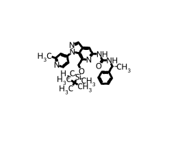 Cc1cc(-n2ncc3cc(NC(=O)N[C@H](C)c4ccccc4)nc(CO[Si](C)(C)C(C)(C)C)c32)ccn1